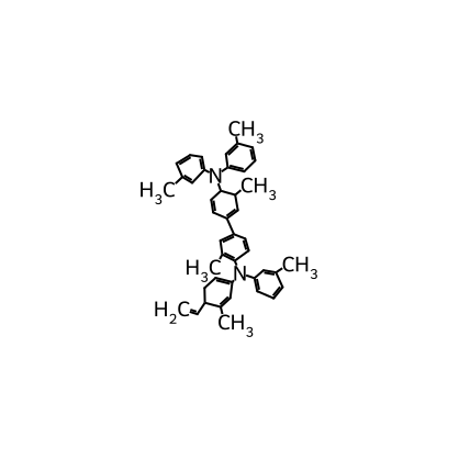 C=CC1CC=C(N(c2cccc(C)c2)c2ccc(C3=CC(C)C(N(c4cccc(C)c4)c4cccc(C)c4)C=C3)cc2C)C=C1C